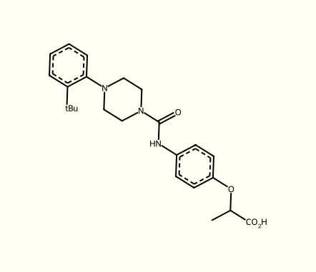 CC(Oc1ccc(NC(=O)N2CCN(c3ccccc3C(C)(C)C)CC2)cc1)C(=O)O